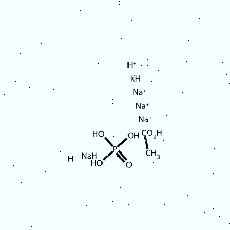 CC(=O)O.O=P(O)(O)O.[H+].[H+].[KH].[Na+].[Na+].[Na+].[NaH]